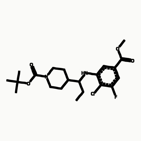 CCC(Nc1cc(C(=O)OC)cc(F)c1Cl)C1CCN(C(=O)OC(C)(C)C)CC1